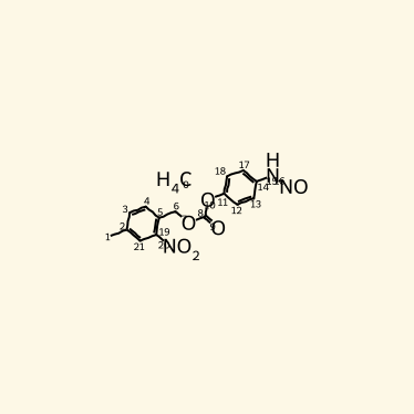 C.Cc1ccc(COC(=O)Oc2ccc(NN=O)cc2)c([N+](=O)[O-])c1